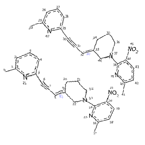 Cc1cccc(C#C/C=C2\CCCN(c3nc(C)ccc3[N+](=O)[O-])C2)n1.Cc1cccc(C#C/C=C2\CCCN(c3nc(C)ccc3[N+](=O)[O-])C2)n1